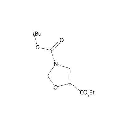 CCOC(=O)C1=CN(C(=O)OC(C)(C)C)CO1